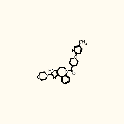 Cc1ccc(N2CCC(C(=O)N3CCc4[nH]c(N5CCOCC5)nc4-c4ccccc43)CC2)nc1